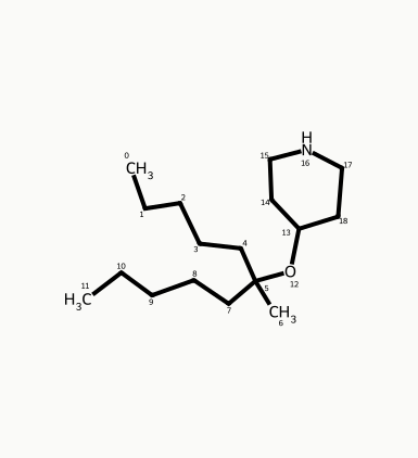 CCCCCC(C)(CCCCC)OC1CCNCC1